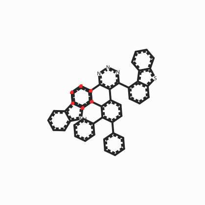 c1ccc(-c2ccc(-c3c(-c4ccccc4)nnnc3-c3cccc4sc5ccccc5c34)c(-c3cccc4c3[nH]c3ccccc34)c2-c2ccccc2)cc1